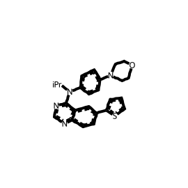 CC(C)N(c1ccc(N2CCOCC2)cc1)c1ncnc2ccc(-c3cccs3)cc12